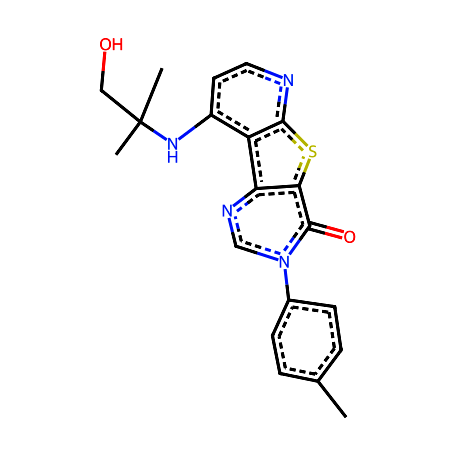 Cc1ccc(-n2cnc3c(sc4nccc(NC(C)(C)CO)c43)c2=O)cc1